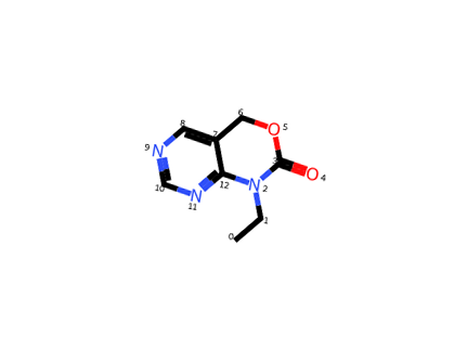 CCN1C(=O)OCc2cncnc21